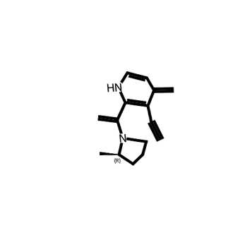 C#CC1=C(C(=C)N2CCC[C@H]2C)NC=CC1=C